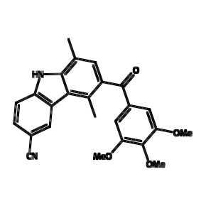 COc1cc(C(=O)c2cc(C)c3[nH]c4ccc(C#N)cc4c3c2C)cc(OC)c1OC